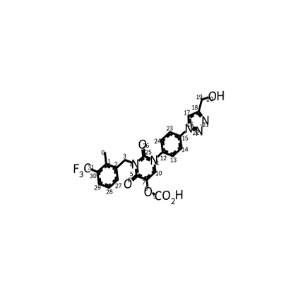 Cc1c(Cn2c(=O)c(OC(=O)O)cn(-c3ccc(-n4cc(CO)nn4)cc3)c2=O)cccc1C(F)(F)F